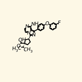 CC(C)[C@@]1(C(=O)O)CC[C@H](c2nc(-c3ccc(Oc4cccc(F)c4)cc3)c3c(N)nccn23)C1